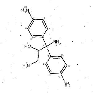 NCC(O)C(N)(c1ccc(N)cc1)c1ccc(N)cc1